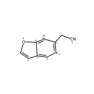 N#CCc1ncc2ccoc2n1